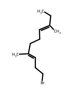 CCC(C)=CCCC(C)=CCCBr